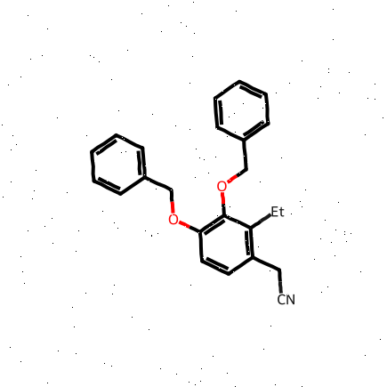 CCc1c(CC#N)ccc(OCc2ccccc2)c1OCc1ccccc1